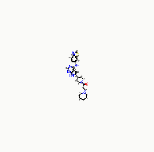 O=C(CCN1CCCCCC1)N1CC=C(c2cc3c(Nc4ccc5ncsc5c4)ncnc3[nH]2)CC1